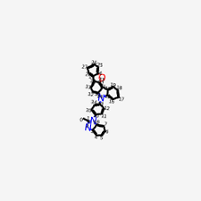 Cc1nc2ccccc2n1-c1ccc(-n2c3ccccc3c3c4oc5ccccc5c4ccc32)cc1